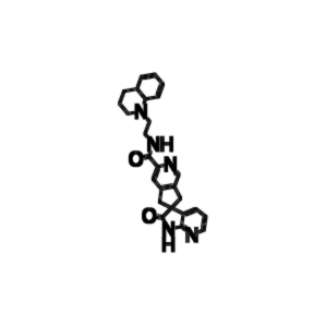 O=C(NCCN1CCCC2C=CC=CC21)c1cc2c(cn1)CC1(C2)C(=O)Nc2ncccc21